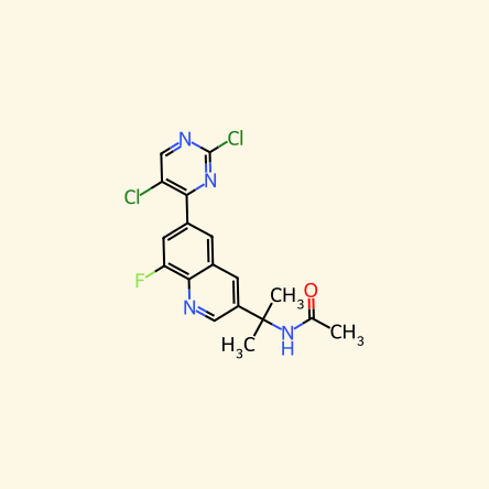 CC(=O)NC(C)(C)c1cnc2c(F)cc(-c3nc(Cl)ncc3Cl)cc2c1